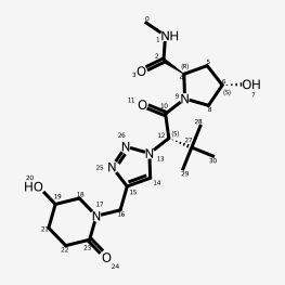 CNC(=O)[C@H]1C[C@H](O)CN1C(=O)[C@@H](n1cc(CN2CC(O)CCC2=O)nn1)C(C)(C)C